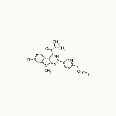 COCc1ccc(-c2nc(C(=O)N(C)C)c3c4ccc(Cl)cc4n(C)c3n2)cn1